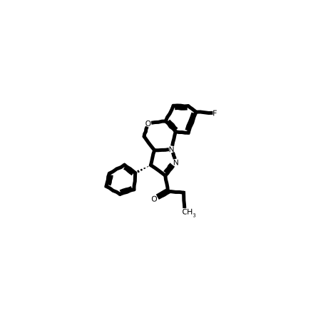 CCC(=O)C1=NN2c3cc(F)ccc3OCC2[C@H]1c1ccccc1